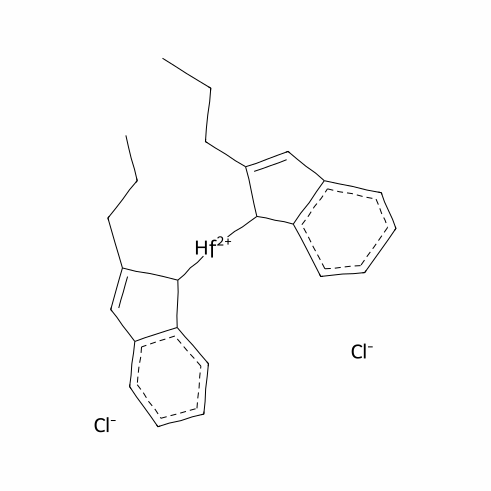 CCCC1=Cc2ccccc2[CH]1[Hf+2][CH]1C(CCC)=Cc2ccccc21.[Cl-].[Cl-]